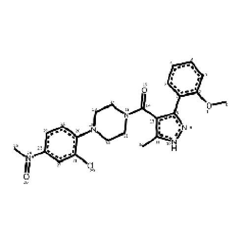 COc1ccccc1-c1n[nH]c(C)c1C(=O)N1CCN(c2ccc([N+](C)=O)cc2Cl)CC1